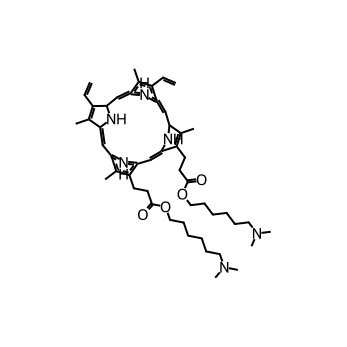 C=CC1=C(C)/C2=C/c3[nH]c(c(CCC(=O)OCCCCCCN(C)C)c3C)/C=C3\NC(/C=c4\[nH]/c(c(C)c4C=C)=C\C1N2)C(C)=C3CCC(=O)OCCCCCCN(C)C